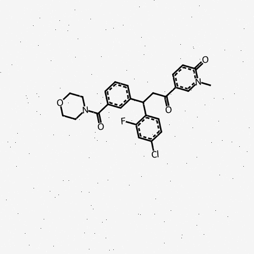 Cn1cc(C(=O)CC(c2cccc(C(=O)N3CCOCC3)c2)c2ccc(Cl)cc2F)ccc1=O